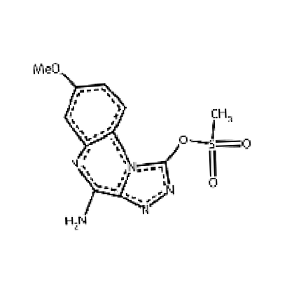 COc1ccc2c(c1)nc(N)c1nnc(OS(C)(=O)=O)n12